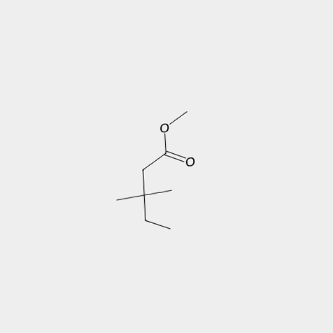 CCC(C)(C)CC(=O)OC